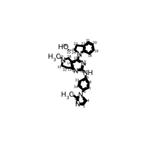 Cc1nccn1-c1ccc(Nc2nc3c(c(N4c5ccccc5C[C@H]4CO)n2)CN(C)CC3)cc1